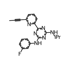 CC#Cc1cccc(-c2nc(Nc3cccc(F)c3)nc(NC(C)C)n2)n1